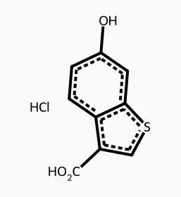 Cl.O=C(O)c1csc2cc(O)ccc12